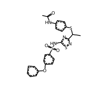 CC(=O)Nc1ccc(SC(C)c2nsc(NS(=O)(=O)c3ccc(Oc4ccccc4)cc3)n2)cc1